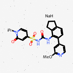 COc1cc(-c2ccc3c(c2NC(=O)NS(=O)(=O)c2ccn(C(C)C)c(=O)c2)CCC3)ccn1.[NaH]